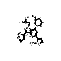 Cn1nccc1-c1cc(N2CCCC(O)C2)c2c(n1)c(-c1ccn[nH]1)nn2CC(F)F